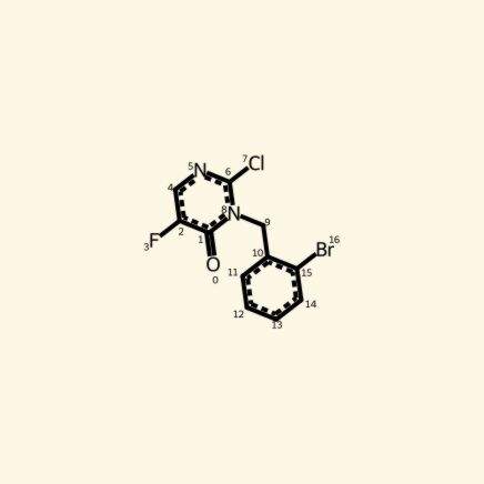 O=c1c(F)cnc(Cl)n1Cc1ccccc1Br